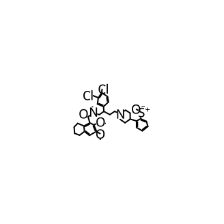 COc1cc2c(c(C(=O)N(C)CC(CCN3CCC(c4ccccc4[S+](C)[O-])CC3)c3ccc(Cl)c(Cl)c3)c1OC)CCCC2